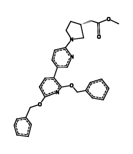 COC(=O)C[C@H]1CCN(c2ccc(-c3ccc(OCc4ccccc4)nc3OCc3ccccc3)cn2)C1